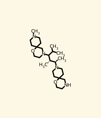 CC(C)C([C@@H](C)[C@@H](C)N1CCC2(CC1)CNCCO2)N1CCOC2(CCN(C)CC2)C1